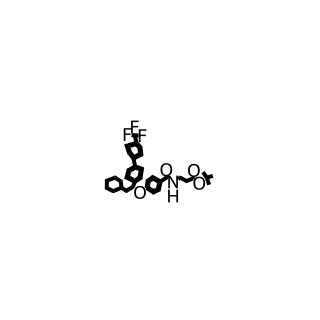 CC(C)(C)OC(=O)CCNC(=O)c1ccc(OC(CC2CCCCC2)c2ccc(-c3ccc(C(F)(F)F)cc3)cc2)cc1